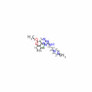 CCOC(=O)c1cnc2nc(NCCCN3CCN(C)CC3)nn2c1-c1ccccc1F